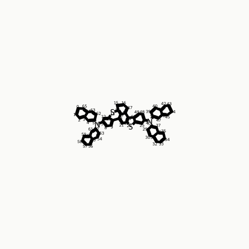 c1ccc2cc(N(c3ccc4c(c3)Sc3cccc5c3c-4cc3sc4cc(N(c6ccc7ccccc7c6)c6ccc7ccccc7c6)ccc4c35)c3ccc4ccccc4c3)ccc2c1